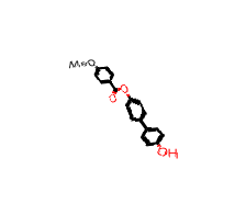 COc1ccc(C(=O)Oc2ccc(-c3ccc(O)cc3)cc2)cc1